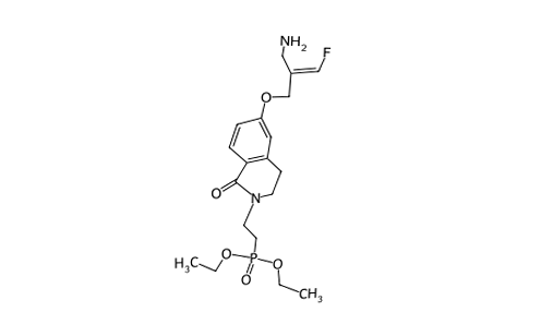 CCOP(=O)(CCN1CCc2cc(OC/C(=C/F)CN)ccc2C1=O)OCC